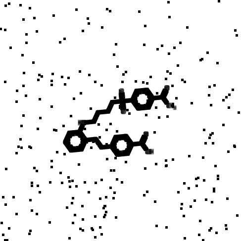 CC(=O)c1ccc(S(=O)(=O)CCCCNc2ccccc2CCc2ccc(C(=O)O)cc2)cc1